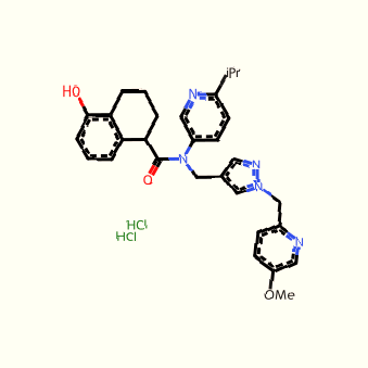 COc1ccc(Cn2cc(CN(C(=O)C3CCCc4c(O)cccc43)c3ccc(C(C)C)nc3)cn2)nc1.Cl.Cl